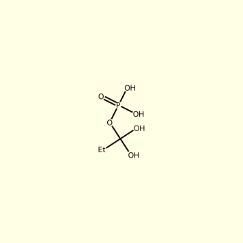 CCC(O)(O)OP(=O)(O)O